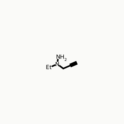 C#CCN(N)CC